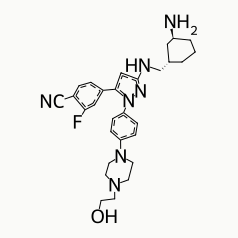 N#Cc1ccc(-c2cc(NC[C@H]3CCC[C@H](N)C3)nn2-c2ccc(N3CCN(CCO)CC3)cc2)cc1F